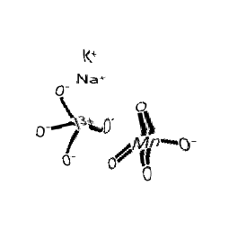 [K+].[Na+].[O-][I+3]([O-])([O-])[O-].[O]=[Mn](=[O])(=[O])[O-]